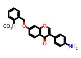 Nc1ccc(-c2coc3cc(OCc4ccccc4C(=O)O)ccc3c2=O)cc1